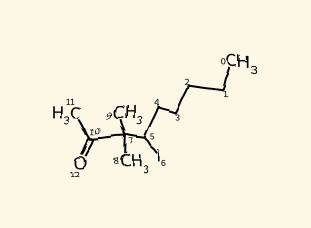 CCCCCC(I)C(C)(C)C(C)=O